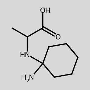 CC(NC1(N)CCCCC1)C(=O)O